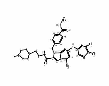 CN1CCC(CCNC(=O)c2cc3c(Br)cc(Sc4ccc(Cl)c(Cl)c4)cc3n2Cc2ccc(C(=O)OC(C)(C)C)cc2)CC1